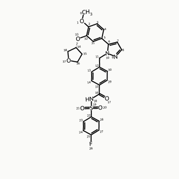 COc1ccc(-c2ccnn2Cc2ccc(C(=O)NS(=O)(=O)c3ccc(F)cc3)cc2)cc1O[C@@H]1CCOC1